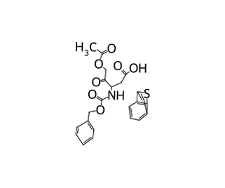 CC(=O)OCC(=O)C(CC(=O)O)NC(=O)OCc1ccccc1.c1cc2c3sc-2cc3c1